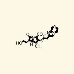 C[C@H]1C(SCCc2cn3ccncc3n2)=C(C(=O)O)N2C(=O)[C@H](CCO)[C@H]12